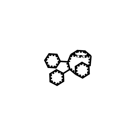 c1ccc(-c2c(-c3ccccc3)c3ccc(cc3)c3ccc2cc3)cc1